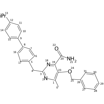 Cc1nc(Cc2ccc(-c3ccc(C(C)C)cc3)cc2)nc(C(N)=O)c1OCc1ccccc1